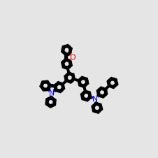 c1ccc(-c2ccc(N(c3ccccc3)c3cccc(-c4cccc(-c5cc(-c6ccc7c(c6)oc6ccccc67)cc(-c6ccc7c(c6)c6ccccc6n7-c6ccccc6)c5)c4)c3)cc2)cc1